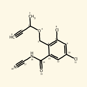 C#CC(C)OCc1c(Cl)cc(Cl)cc1C(=O)NC#N